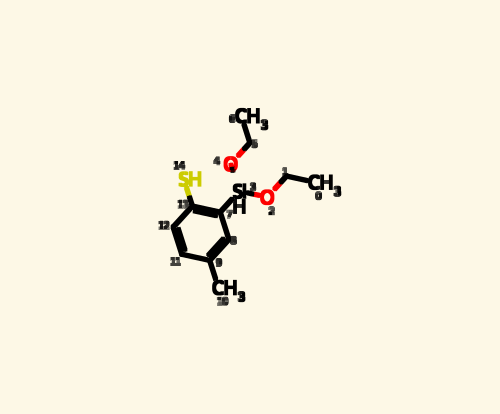 CCO[SiH](OCC)c1cc(C)ccc1S